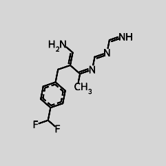 CC(=N/C=N/C=N)/C(=C/N)Cc1ccc(C(F)F)cc1